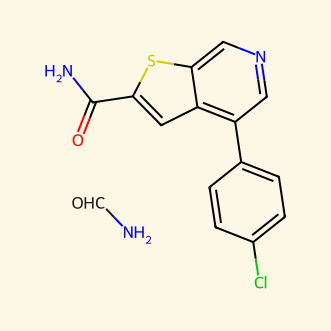 NC(=O)c1cc2c(-c3ccc(Cl)cc3)cncc2s1.NC=O